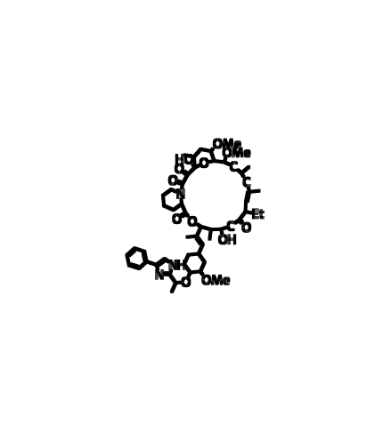 CCC1/C=C(\C)CC(C)CC(OC)C2OC(O)(C(=O)C(=O)N3CCCCC3C(=O)OC(C(C)=CC3CCC(OC(C)c4nc(-c5ccccc5)c[nH]4)C(OC)C3)C(C)C(O)CC1=O)C(C)CC2OC